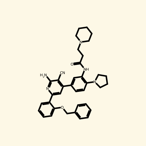 N#Cc1c(-c2ccc(N3CCCC3)c(NC(=O)CCN3CCCCC3)c2)cc(-c2ccccc2OCc2ccccc2)nc1N